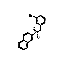 O=S(=O)(Cc1cccc(Br)c1)c1ccc2ccccc2c1